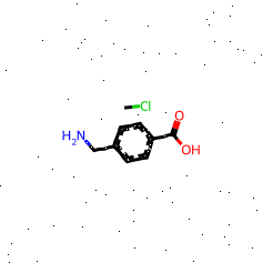 CCl.NCc1ccc(C(=O)O)cc1